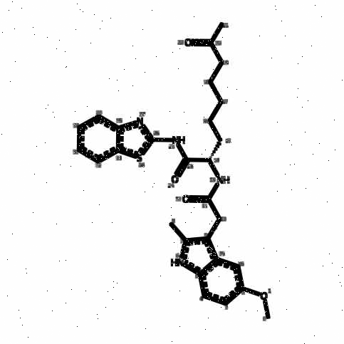 COc1ccc2[nH]c(C)c(CC(=O)N[C@@H](CCCCCC(C)=O)C(=O)Nc3nc4ccccc4s3)c2c1